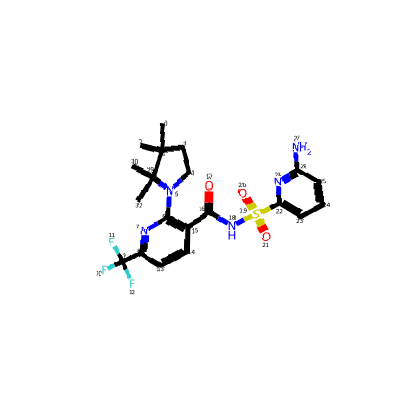 CC1(C)CCN(c2nc(C(F)(F)F)ccc2C(=O)NS(=O)(=O)c2cccc(N)n2)C1(C)C